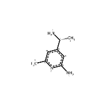 C[C@@H](N)c1cc(N)nc(C(F)(F)F)c1